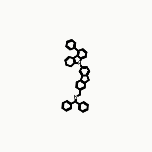 C1=Cc2c(n(-c3ccc4c(c3)-c3ccc(CN=C(c5ccccc5)c5ccccc5)cc3C4)c3cccc(-c4ccccc4)c23)CC1